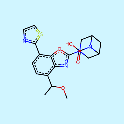 COC(C)c1ccc(-c2nccs2)c2oc(N3CC4CC(C3)N4C(=O)O)nc12